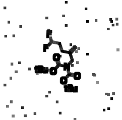 C=C(CCC(F)F)CN(C(=O)OC(C)(C)C)C(=O)OC(C)(C)C